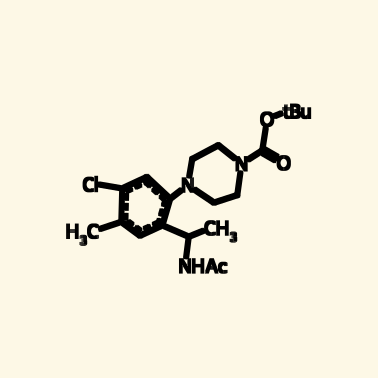 CC(=O)NC(C)c1cc(C)c(Cl)cc1N1CCN(C(=O)OC(C)(C)C)CC1